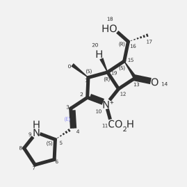 C[C@@H]1C(/C=C/[C@@H]2CCCN2)=[N+](C(=O)O)C2C(=O)[C@H]([C@@H](C)O)[C@H]21